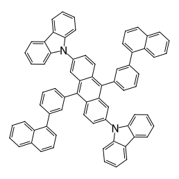 c1cc(-c2cccc3ccccc23)cc(-c2c3ccc(-n4c5ccccc5c5ccccc54)cc3c(-c3cccc(-c4cccc5ccccc45)c3)c3ccc(-n4c5ccccc5c5ccccc54)cc23)c1